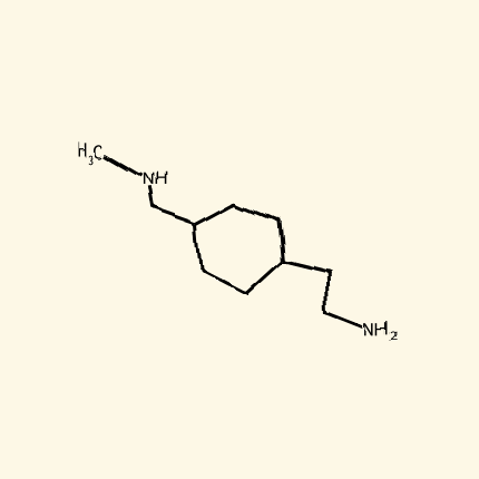 CNCC1CCC(CCN)CC1